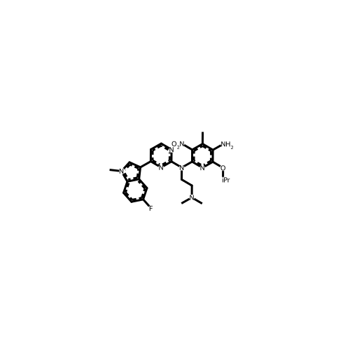 Cc1c(N)c(OC(C)C)nc(N(CCN(C)C)c2nccc(-c3cn(C)c4ccc(F)cc34)n2)c1[N+](=O)[O-]